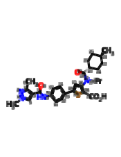 Cc1nn(C)cc1C(=O)Nc1ccc(-c2cc(N(C(=O)[C@H]3CC[C@H](C)CC3)C(C)C)c(C(=O)O)s2)cc1